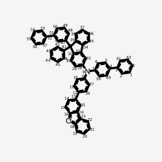 c1ccc(-c2ccc(N(c3ccc(-c4ccc5oc6ccccc6c5c4)cc3)c3ccc4c(c3)-c3ccccc3C4(c3ccccc3)c3cccc(-c4ccccc4)c3)cc2)cc1